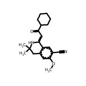 COc1cc2c(cc1C#N)C(=CC(=O)C1CCCCC1)NC(C)(C)C2